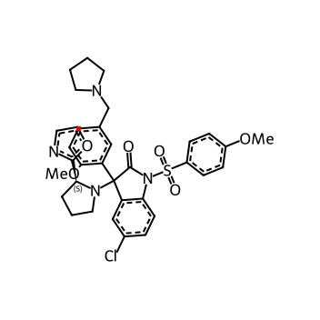 COc1ccc(S(=O)(=O)N2C(=O)C(c3cc(CN4CCCC4)ccc3OC)(N3CCC[C@H]3c3ncco3)c3cc(Cl)ccc32)cc1